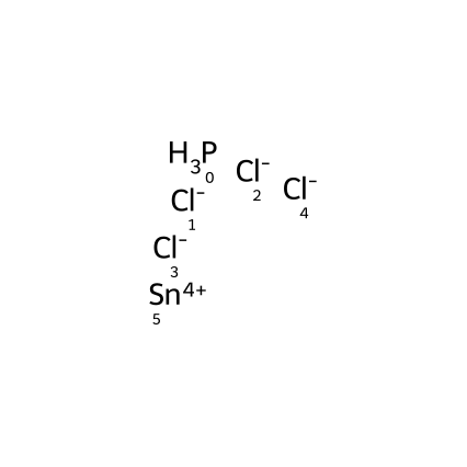 P.[Cl-].[Cl-].[Cl-].[Cl-].[Sn+4]